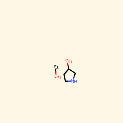 CCO.OC1CCNC1